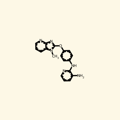 Cn1c(Oc2ccc(Nc3ncccc3N)cc2)nc2ncccc21